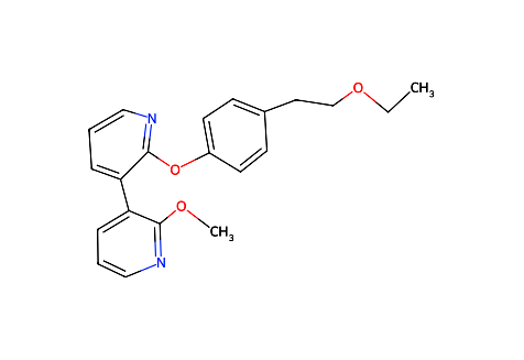 CCOCCc1ccc(Oc2ncccc2-c2cccnc2OC)cc1